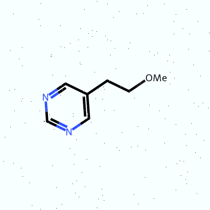 COCCc1cn[c]nc1